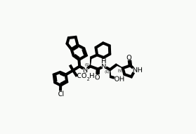 CC(C)(c1cccc(Cl)c1)C(c1ccc2c(c1)CCC2)N(C(=O)O)[C@@H](CC1CCCCC1)C(=O)N[C@H](CO)C[C@@H]1CCNC1=O